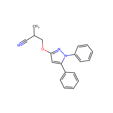 CC(C#N)COc1cc(-c2ccccc2)n(-c2ccccc2)n1